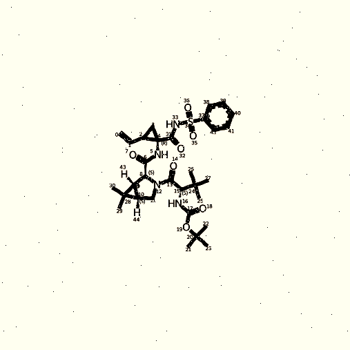 C=CC1C[C@]1(NC(=O)[C@@H]1[C@@H]2[C@H](CN1C(=O)[C@@H](NC(=O)OC(C)(C)C)C(C)(C)C)C2(C)C)C(=O)NS(=O)(=O)c1ccccc1